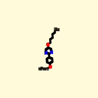 CCCCCOc1ccc(-c2ncc(OCCCCCC(C)CC)cn2)cc1